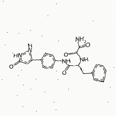 NC(=O)C(=O)NC(Cc1ccccc1)C(=O)Nc1ccc(-c2cc(=O)[nH][nH]2)cc1